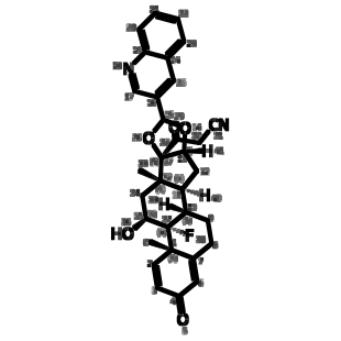 C[C@]12C=CC(=O)C=C1CC[C@H]1[C@@H]3C[C@H]4OC(c5cnc6ccccc6c5)O[C@@]4(C(=O)CC#N)[C@@]3(C)C[C@H](O)[C@@]12F